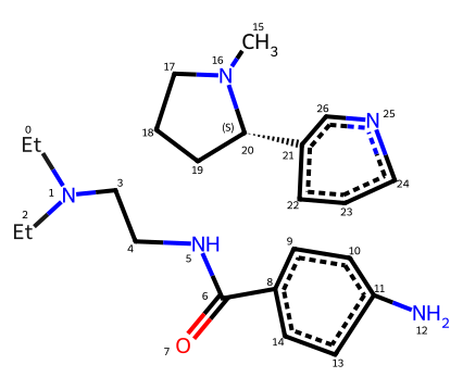 CCN(CC)CCNC(=O)c1ccc(N)cc1.CN1CCC[C@H]1c1cccnc1